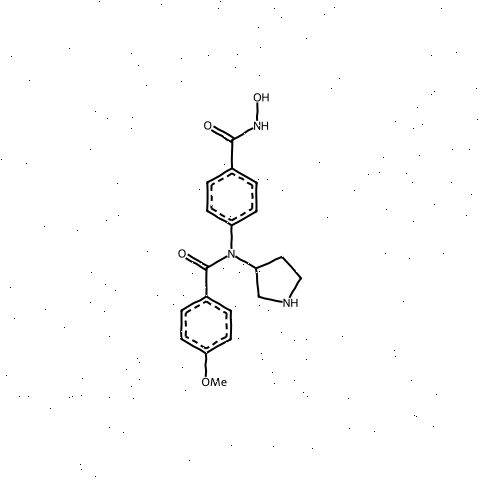 COc1ccc(C(=O)N(c2ccc(C(=O)NO)cc2)C2CCNC2)cc1